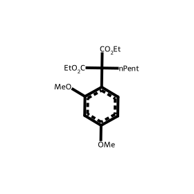 CCCCCC(C(=O)OCC)(C(=O)OCC)c1ccc(OC)cc1OC